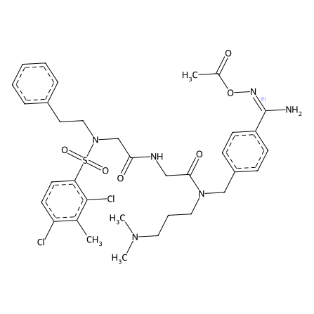 CC(=O)O/N=C(/N)c1ccc(CN(CCCN(C)C)C(=O)CNC(=O)CN(CCc2ccccc2)S(=O)(=O)c2ccc(Cl)c(C)c2Cl)cc1